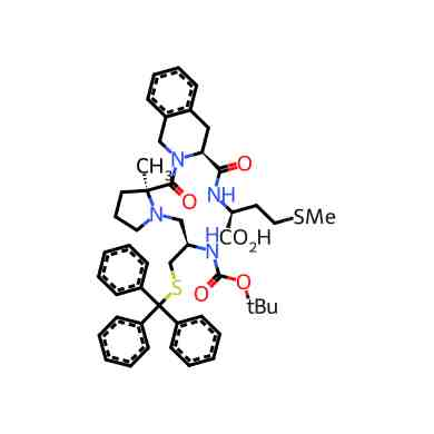 CSCC[C@H](NC(=O)[C@@H]1Cc2ccccc2CN1C(=O)[C@]1(C)CCCN1C[C@H](CSC(c1ccccc1)(c1ccccc1)c1ccccc1)NC(=O)OC(C)(C)C)C(=O)O